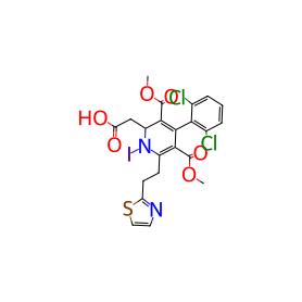 COC(=O)C1=C(CCc2nccs2)N(I)C(CC(=O)O)C(C(=O)OC)=C1c1c(Cl)cccc1Cl